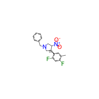 Cc1cc([C@H]2CN(Cc3ccccc3)CC2[N+](=O)[O-])c(F)cc1F